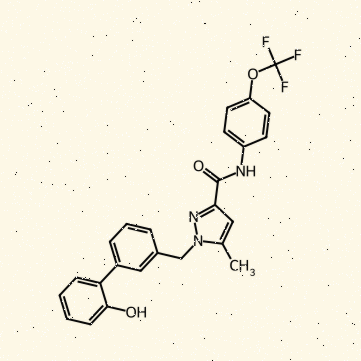 Cc1cc(C(=O)Nc2ccc(OC(F)(F)F)cc2)nn1Cc1cccc(-c2ccccc2O)c1